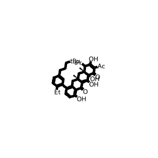 CCc1ccc(CCCC(C)(C)C)cc1-c1ccc(O)c2c1C[C@]1(C)C[C@]3(C)C(C(C)C)C(O)=C(C(C)=O)C(=O)[C@]3(O)C(O)=C1C2=O